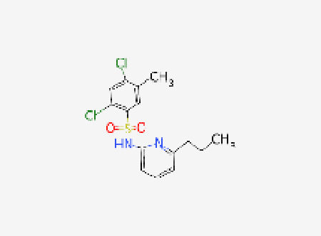 CCCc1cccc(NS(=O)(=O)c2cc(C)c(Cl)cc2Cl)n1